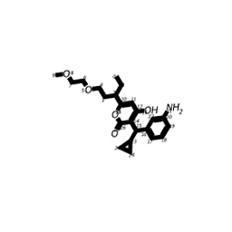 CCC(CCOCCOC)c1cc(O)c(C(c2cccc(N)c2)C2CC2)c(=O)o1